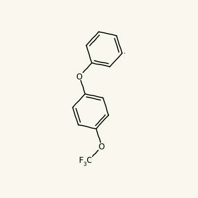 FC(F)(F)Oc1ccc(Oc2c[c]ccc2)cc1